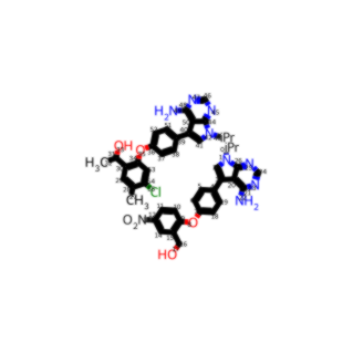 CC(C)n1cc(-c2ccc(Oc3ccc([N+](=O)[O-])cc3CO)cc2)c2c(N)ncnc21.Cc1cc(C(C)O)c(Oc2ccc(-c3cn(C(C)C)c4ncnc(N)c34)cc2)cc1Cl